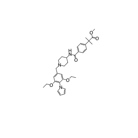 CCOc1cc(CN2CCC(NC(=O)c3ccc(C(C)(C)C(=O)OC)cc3)CC2)cc(OCC)c1-n1cccc1